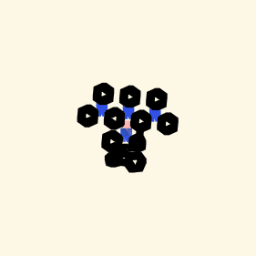 c1ccc(N(c2ccccc2)c2ccc3c(c2)N(c2ccccc2)c2cc(N(c4ccccc4)c4ccccc4)cc4c2B3N2c3ccccc3[Si]3(c5ccccc5-c5ccccc53)c3cccc-4c32)cc1